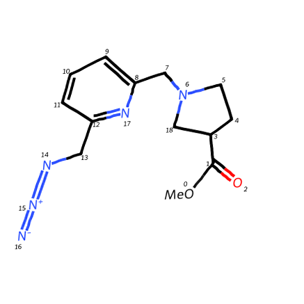 COC(=O)C1CCN(Cc2cccc(CN=[N+]=[N-])n2)C1